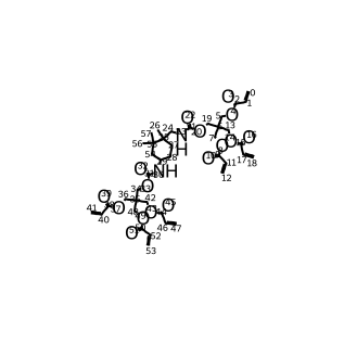 C=CC(=O)OCC(COC(=O)C=C)(COC(=O)C=C)COC(=O)NCC1(C)CCC(NC(=O)OCC(COC(=O)C=C)(COC(=O)C=C)COC(=O)C=C)CC1(C)C